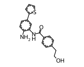 Nc1ccc(-c2cccs2)cc1NC(=O)c1ccc(CCO)cc1